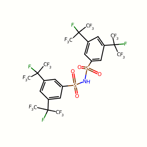 O=S(=O)(NS(=O)(=O)c1cc(C(F)(C(F)(F)F)C(F)(F)F)cc(C(F)(C(F)(F)F)C(F)(F)F)c1)c1cc(C(F)(C(F)(F)F)C(F)(F)F)cc(C(F)(C(F)(F)F)C(F)(F)F)c1